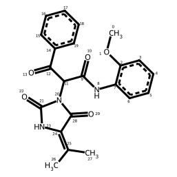 COc1ccccc1NC(=O)C(C(=O)c1ccccc1)N1C(=O)NC(=C(C)C)C1=O